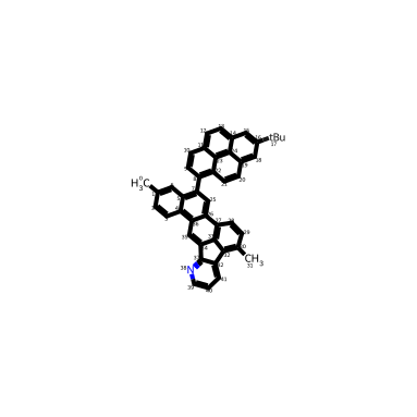 Cc1ccc2c(c1)c(-c1ccc3ccc4cc(C(C)(C)C)cc5ccc1c3c45)cc1c3ccc(C)c4c3c(cc21)-c1ncccc1-4